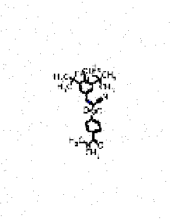 CN(C)C(=O)c1ccc(S(=O)(=O)/C(C#N)=C/c2cc(C(C)(C)C)c(O)c(C(C)(C)C)c2)cc1